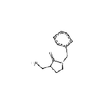 NCC1CCN(Cc2ccccc2)C1=O